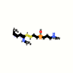 C=N/C(=C\C=C/C)SSCC[PH](=O)CCCNC(C)C